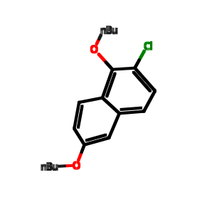 CCCCOc1ccc2c(OCCCC)c(Cl)ccc2c1